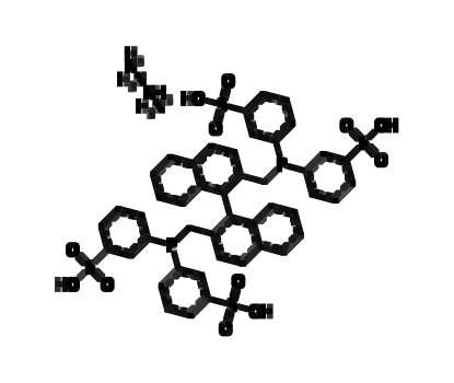 N.N.N.N.O=S(=O)(O)c1cccc(P(Cc2ccc3ccccc3c2-c2c(CP(c3cccc(S(=O)(=O)O)c3)c3cccc(S(=O)(=O)O)c3)ccc3ccccc23)c2cccc(S(=O)(=O)O)c2)c1